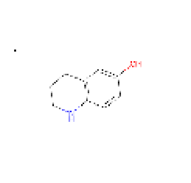 Oc1ccc2c(c1)CCCN2